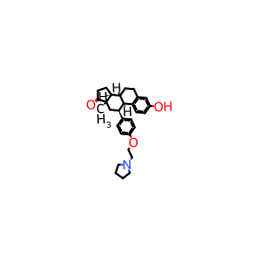 C[C@]12C[C@H](c3ccc(OCCN4CCCC4)cc3)[C@@H]3c4ccc(O)cc4CC[C@H]3[C@@H]1CCC2=O